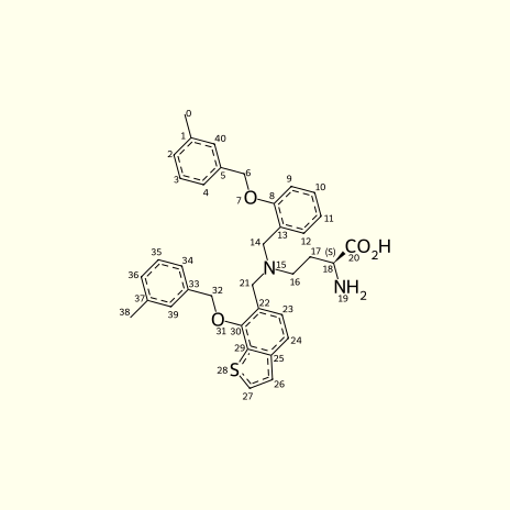 Cc1cccc(COc2ccccc2CN(CC[C@H](N)C(=O)O)Cc2ccc3ccsc3c2OCc2cccc(C)c2)c1